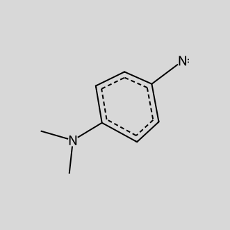 CN(C)c1ccc([N])cc1